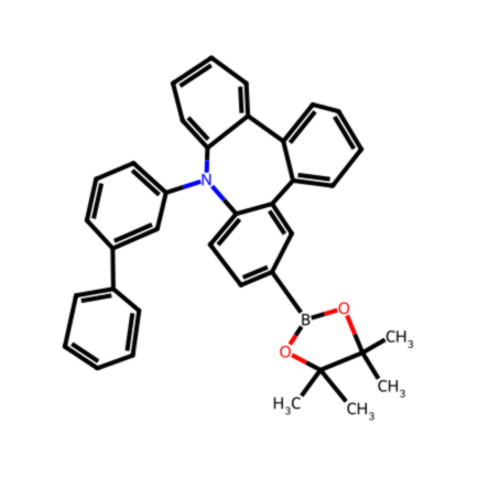 CC1(C)OB(c2ccc3c(c2)-c2ccccc2-c2ccccc2N3c2cccc(-c3ccccc3)c2)OC1(C)C